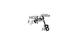 CO[C@H](C)CN(CCCCc1ccc2c(n1)NCCC2)CC[C@H](Nc1ncc(C(F)(F)F)cn1)C(=O)O